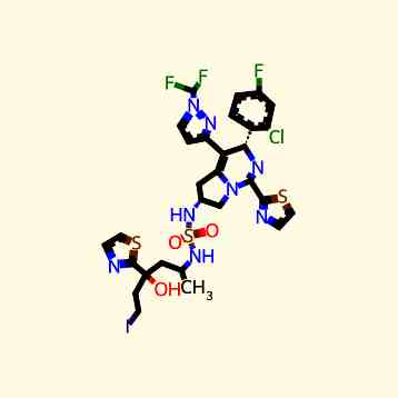 CC(CC(O)(CCI)c1nccs1)NS(=O)(=O)N[C@H]1CC2=C(c3ccn(C(F)F)n3)[C@H](c3ccc(F)cc3Cl)N=C(c3nccs3)N2C1